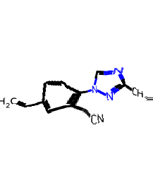 C=Cc1ccc(-n2cnc(C)n2)c(C#N)c1